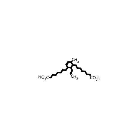 C=CCC1C(CCCCCCCC(=O)O)C=CC(C)C1CCCCCCCC(=O)O